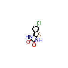 O=c1[nH]c2sc3cc(Cl)ccc3c2[nH]c1=O